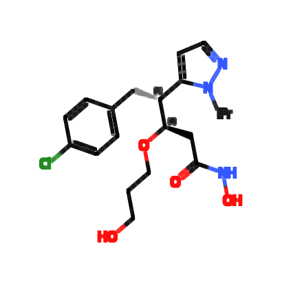 CC(C)n1nccc1[C@@H](Cc1ccc(Cl)cc1)[C@@H](CC(=O)NO)OCCCO